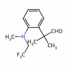 CN(CC(F)(F)F)c1ccccc1C(C)(C)C=O